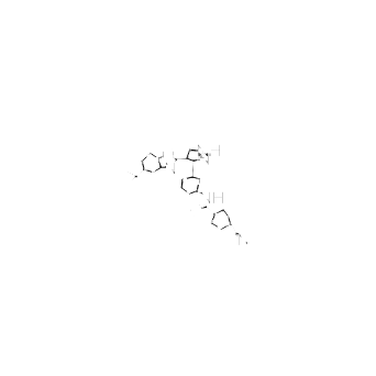 CC(C)(C)c1ccc2oc(-c3c[nH]nc3-c3cccc(NC(=O)c4ccc(C#N)cc4)c3)nc2c1